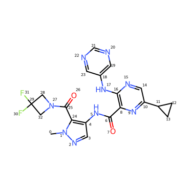 Cn1ncc(NC(=O)c2nc(C3CC3)cnc2Nc2cncnc2)c1C(=O)N1CC(F)(F)C1